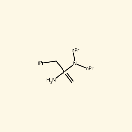 C=P(N)(CC(C)C)N(CCC)CCC